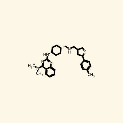 Cc1ccc(C2CC(CNC[C@H]3CC[C@@H](Nc4nc(N(C)C)c5ccccc5n4)CC3)CS2)cc1